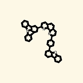 c1ccc2c(c1)oc1c(-c3ccc(-c4ccc5ccc6ccc(-c7cc8c9ccccc9n9c%10ccccc%10c(c7)c89)nc6c5n4)cc3)cccc12